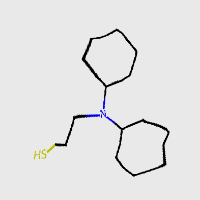 SCCN(C1CCCCC1)C1CCCCC1